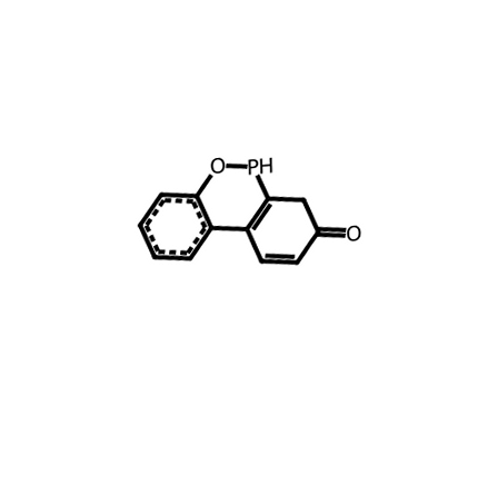 O=C1C=CC2=C(C1)POc1ccccc12